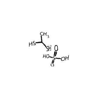 CC(S)S.O=S(=O)(O)O